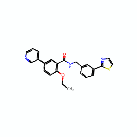 CCOc1ccc(-c2cccnc2)cc1C(=O)NCc1cccc(-c2nccs2)c1